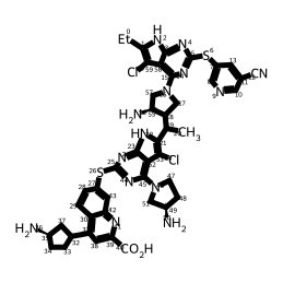 CCc1[nH]c2nc(Sc3cncc(C#N)c3)nc(N3CC(C(C)c4[nH]c5nc(Sc6ccc7c(C8CC[C@@H](N)C8)cc(C(=O)O)nc7c6)nc(N6CC[C@@H](N)C6)c5c4Cl)[C@@H](N)C3)c2c1Cl